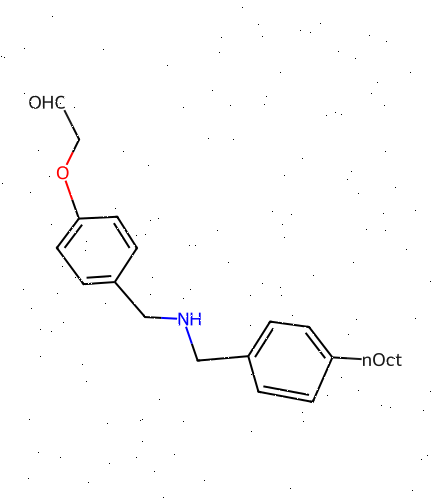 CCCCCCCCc1ccc(CNCc2ccc(OCC=O)cc2)cc1